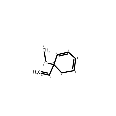 C=CC1(OC)C=CC=CC1